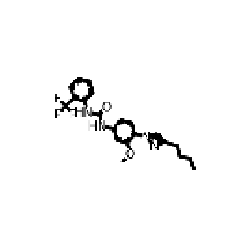 CCCCc1c2n(-c3ccc(NC(=O)Nc4ccccc4C(F)(F)F)cc3OC)n1-2